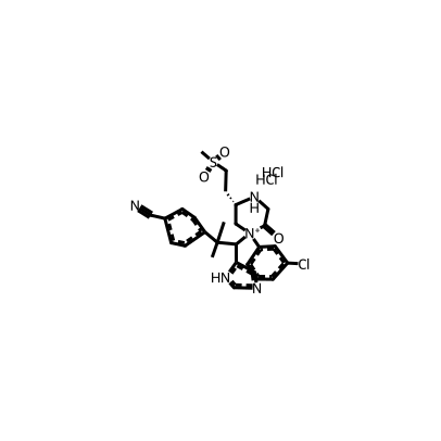 CC(C)(c1ccc(C#N)cc1)C(c1cnc[nH]1)[N+]1(c2cccc(Cl)c2)C[C@H](CCS(C)(=O)=O)NCC1=O.Cl.Cl